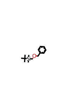 CC(C)(C)[Si](C)(C)COCc1ccccc1